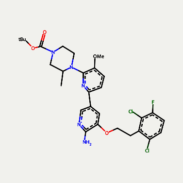 COc1ccc(-c2cnc(N)c(OCCc3c(Cl)ccc(F)c3Cl)c2)nc1N1CCN(C(=O)OC(C)(C)C)CC1C